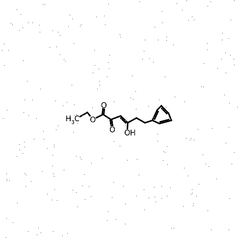 CCOC(=O)C(=O)C=C(O)CCc1ccccc1